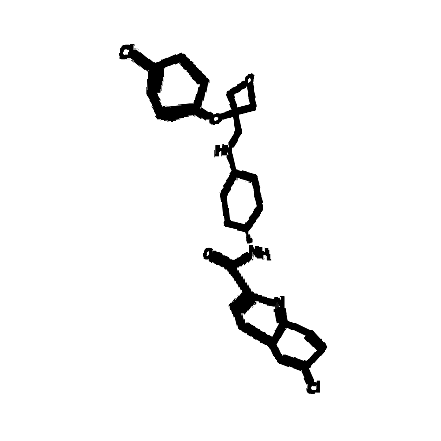 O=C(N[C@H]1CC[C@H](NCC2(Oc3ccc(Cl)cc3)COC2)CC1)c1ccc2cc(Cl)ccc2n1